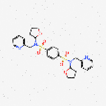 O=S(=O)(c1ccc(S(=O)(=O)N(Cc2ccccn2)C2CCCO2)cc1)N(Cc1ccccn1)C1CCCO1